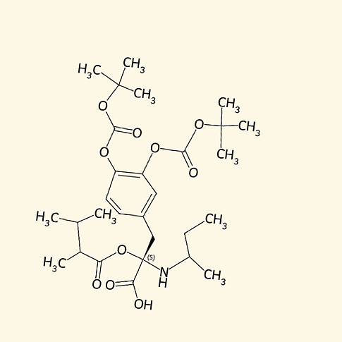 CCC(C)N[C@@](Cc1ccc(OC(=O)OC(C)(C)C)c(OC(=O)OC(C)(C)C)c1)(OC(=O)C(C)C(C)C)C(=O)O